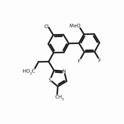 COc1ccc(F)c(F)c1-c1cc(Cl)cc(C(CC(=O)O)c2ncc(C)s2)c1